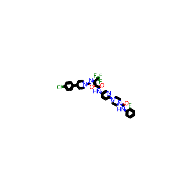 O=C(Nc1ccc(N2CCN(C(=O)Nc3ccccc3F)CC2)nc1)c1oc(N2CCC(c3ccc(Cl)cc3)CC2)nc1C(F)(F)F